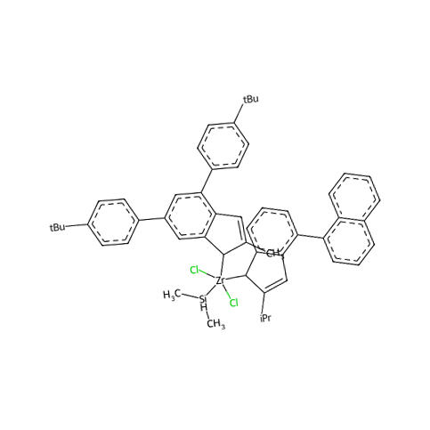 CC1=Cc2c(-c3ccc(C(C)(C)C)cc3)cc(-c3ccc(C(C)(C)C)cc3)cc2[CH]1[Zr]([Cl])([Cl])([CH]1C(C(C)C)=Cc2c(-c3cccc4ccccc34)cccc21)[SiH](C)C